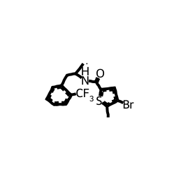 [CH2]C(Cc1ccccc1C(F)(F)F)NC(=O)c1cc(Br)c(C)s1